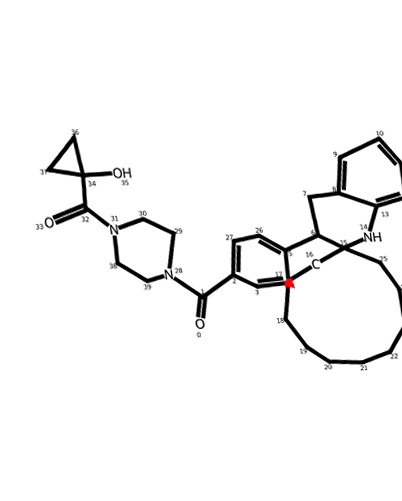 O=C(c1ccc(C2Cc3ccccc3NC23CCCCCCCCCC3)cc1)N1CCN(C(=O)C2(O)CC2)CC1